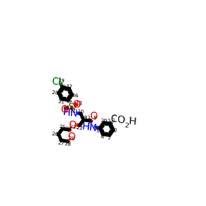 O=C(O)c1cccc(NC(=O)C(CNS(=O)(=O)c2ccc(Cl)cc2)COC2CCCCO2)c1